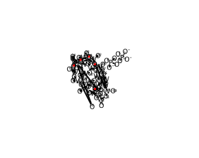 O=P([O-])([O-])[O-].O=P([O-])([O-])[O-].[O]=[W]123[O][W]45(=[O])[O][W]6(=[O])([O]1)[O][W]17(=[O])[O][W]8(=[O])([O]6)[O][W]6(=[O])([O]4)[O][W]4(=[O])([O]5)[O][W]5(=[O])([O]2)[O][W](=[O])([O]3)([O]1)[O][W]12(=[O])[O][W]39(=[O])[O][W]%10%11(=[O])[O][W]%12(=[O])([O]3)[O][W](=[O])([O][W](=[O])([O]%12)([O][W](=[O])([O]%10)([O][W](=[O])([O]%11)([O][W](=[O])([O]9)([O]1)[O]5)[O]4)[O]6)[O]8)([O]2)[O]7